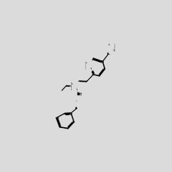 CCN(CCc1ccc(C#N)cn1)C(=O)OCc1ccccc1